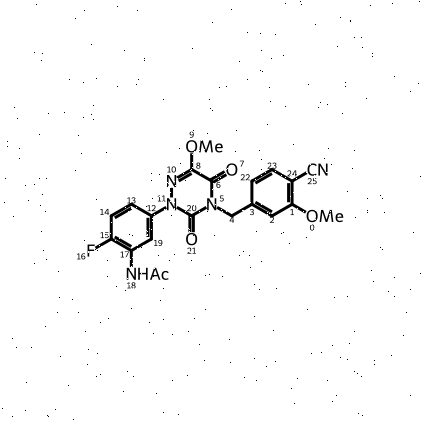 COc1cc(Cn2c(=O)c(OC)nn(-c3ccc(F)c(NC(C)=O)c3)c2=O)ccc1C#N